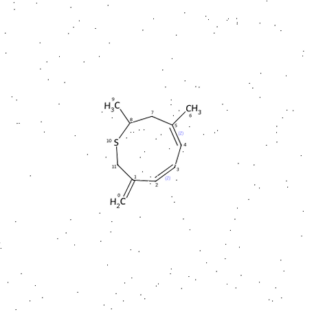 C=C1/C=C\C=C(\C)CC(C)SC1